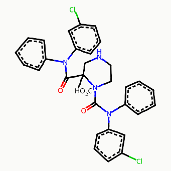 O=C(N(c1ccccc1)c1cccc(Cl)c1)N1CCNCC1(C(=O)O)C(=O)N(c1ccccc1)c1cccc(Cl)c1